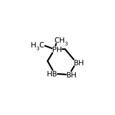 C[PH]1(C)CBBBC1